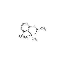 Cc1cccc2c1C(C)(C)CN(C)C2